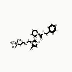 C[Si](C)(C)CCOCn1c(Br)cnc1[C@@H]1CCCN1C(=O)OCc1ccccc1